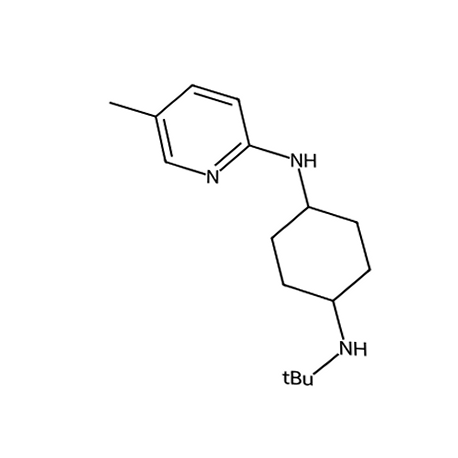 Cc1ccc(NC2CCC(NC(C)(C)C)CC2)nc1